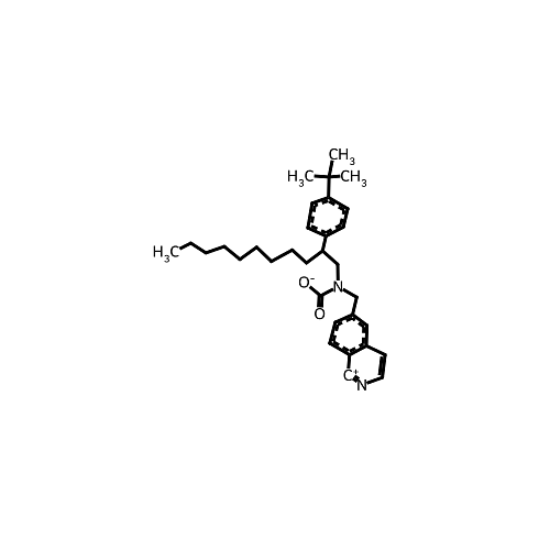 CCCCCCCCCC(CN(Cc1ccc2c(c1)C=CN=[C+]2)C(=O)[O-])c1ccc(C(C)(C)C)cc1